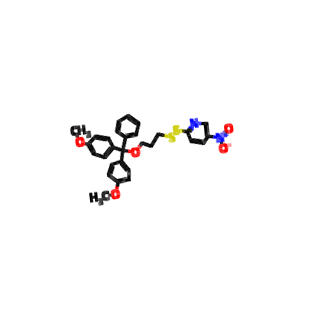 COc1ccc(C(OCCCSSc2ccc([N+](=O)[O-])cn2)(c2ccccc2)c2ccc(OC)cc2)cc1